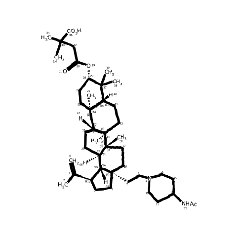 C=C(C)[C@@H]1CC[C@]2(CCN3CCC(NC(C)=O)CC3)CC[C@]3(C)[C@H](CC[C@@H]4[C@@]5(C)CC[C@H](OC(=O)CC(C)(C)C(=O)O)C(C)(C)[C@@H]5CC[C@]43C)[C@@H]12